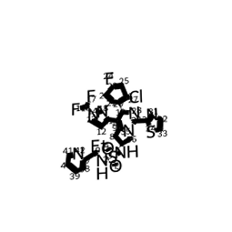 CC[C@@H](NS(=O)(=O)N[C@H]1CC2=C(c3ccn(C(F)F)n3)[C@H](c3ccc(F)cc3Cl)N=C(c3nccs3)N2C1)c1ccccn1